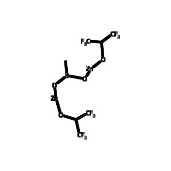 CB([O][Zn][O]C(C(F)(F)F)C(F)(F)F)[O][Zn][O]C(C(F)(F)F)C(F)(F)F